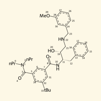 CCCN(CCC)C(=O)c1cc(C(=O)N[C@@H](Cc2ccccc2)[C@H](O)CNCc2cccc(OC)c2)cc(C(C)(C)C)c1